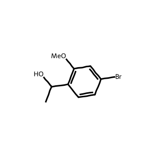 COc1cc(Br)ccc1[C](C)O